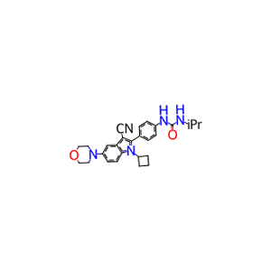 CC(C)NC(=O)Nc1ccc(-c2c(C#N)c3cc(N4CCOCC4)ccc3n2C2CCC2)cc1